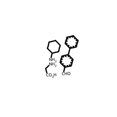 NC1CCCCC1.NCC(=O)O.O=Cc1ccc(-c2ccccc2)cc1